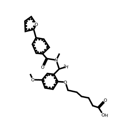 [2H]C(c1cc(OC)ccc1OCCCCCC(=O)O)N(C)C(=O)c1ccc(-c2ccco2)cc1